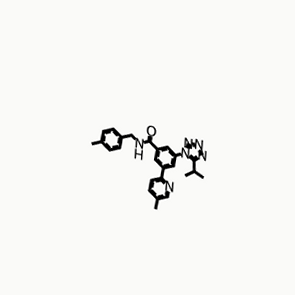 Cc1ccc(CNC(=O)c2cc(-c3ccc(C)cn3)cc(-n3nnnc3C(C)C)c2)cc1